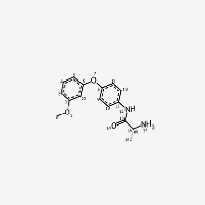 COc1cccc(Oc2ccc(NC(=O)[C@@H](C)N)cc2)c1